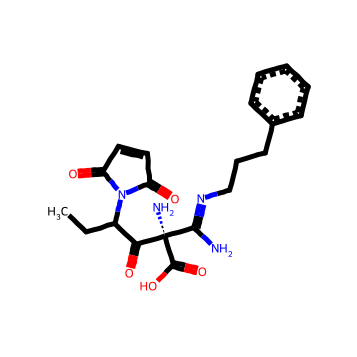 CCC(C(=O)[C@](N)(C(=O)O)C(N)=NCCCc1ccccc1)N1C(=O)C=CC1=O